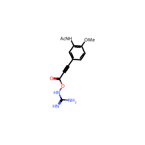 COc1ccc(C#CC(=O)ONC(=N)N)cc1NC(C)=O